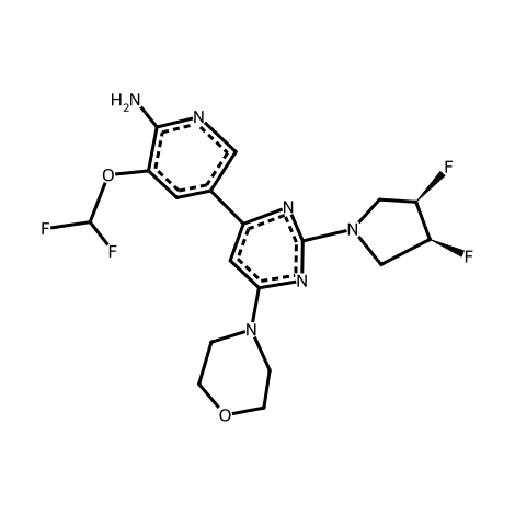 Nc1ncc(-c2cc(N3CCOCC3)nc(N3C[C@@H](F)[C@@H](F)C3)n2)cc1OC(F)F